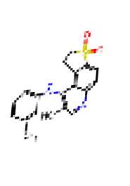 N#Cc1cnc2ccc3c(c2c1Nc1cccc(C(F)(F)F)c1)CCS3(=O)=O